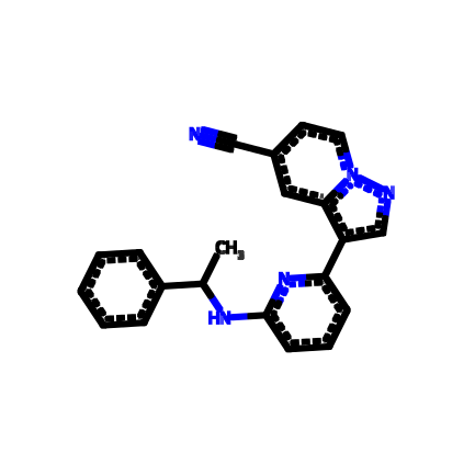 CC(Nc1cccc(-c2cnn3ccc(C#N)cc23)n1)c1ccccc1